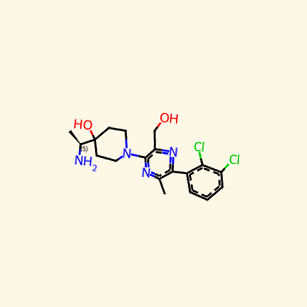 Cc1nc(N2CCC(O)([C@H](C)N)CC2)c(CO)nc1-c1cccc(Cl)c1Cl